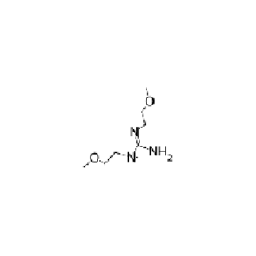 COCC[N]C(N)=NCCOC